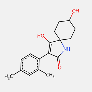 Cc1ccc(C2=C(O)C3(CCC(O)CC3)NC2=O)c(C)c1